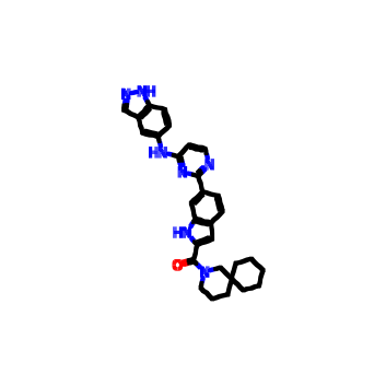 O=C(c1cc2ccc(-c3nccc(Nc4ccc5[nH]ncc5c4)n3)cc2[nH]1)N1CCCC2(CCCCC2)C1